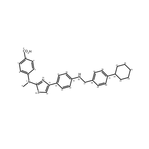 CN(c1ccc(C(=O)O)cc1)c1nc(-c2ccc(NCc3ccc(C4CCCCC4)cc3)cc2)cs1